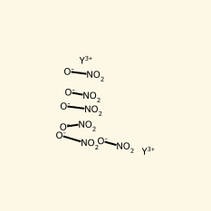 O=[N+]([O-])[O-].O=[N+]([O-])[O-].O=[N+]([O-])[O-].O=[N+]([O-])[O-].O=[N+]([O-])[O-].O=[N+]([O-])[O-].[Y+3].[Y+3]